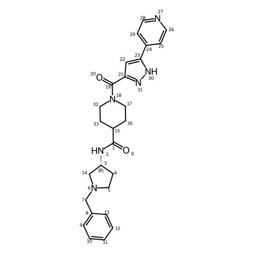 O=C(N[C@@H]1CCN(Cc2ccccc2)C1)C1CCN(C(=O)c2cc(-c3ccncc3)[nH]n2)CC1